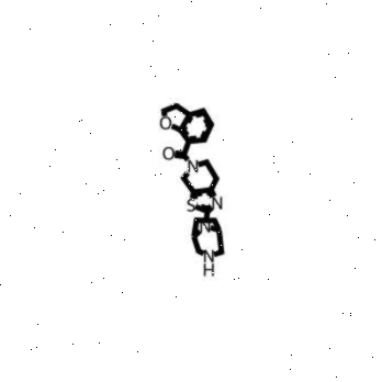 O=C(c1cccc2c1OCC2)N1CCc2nc(N3C4CCC3CNC4)sc2C1